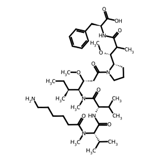 CC[C@H](C)[C@@H]([C@@H](CC(=O)N1CCC[C@H]1[C@H](OC)C(C)C(=O)N[C@@H](Cc1ccccc1)C(=O)O)OC)N(C)C(=O)[C@@H](NC(=O)[C@H](C(C)C)N(C)C(=O)CCCCCN)C(C)C